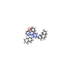 c1ccc2cc(-c3nc(-c4ccc5ccc6ccccc6c5c4)nc(-c4cccc5oc6cccnc6c45)n3)ccc2c1